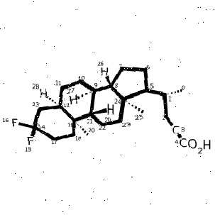 C[C@H](CCC(=O)O)C1CC[C@H]2[C@@H]3CC[C@@H]4CC(F)(F)CC[C@]4(C)[C@H]3CC[C@]12C